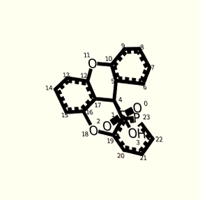 O=S(=O)(O)C12c3ccccc3Oc3cccc(c31)Oc1cccpc12